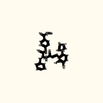 COC(=O)c1ccc(NC(=O)[C@H](Cc2ccccc2)NC(=O)C=Cc2c(-n3cnnn3)ccc(Cl)c2F)nc1